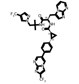 CC(C)(Cn1cc(C(F)(F)F)cn1)NC(=O)[C@@H](Cc1cnc2ncccn12)NC(=O)[C@H]1C[C@@H]1c1ccc(-c2cnc3nc(C(F)(F)F)cn3c2)cc1